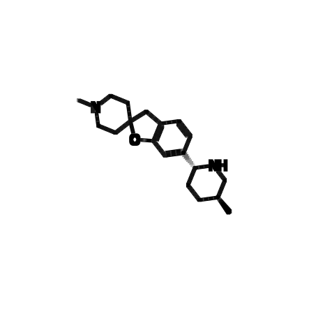 C[C@H]1CC[C@H](c2ccc3c(c2)OC2(CCN(C)CC2)C3)NC1